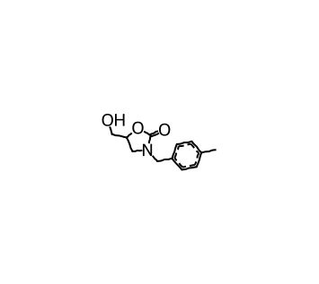 Cc1ccc(CN2CC(CO)OC2=O)cc1